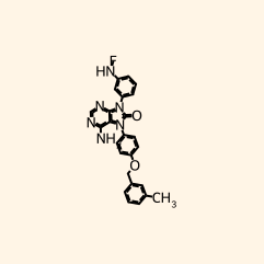 Cc1cccc(COc2ccc(-n3c(=O)n(-c4cccc(NF)c4)c4ncnc(N)c43)cc2)c1